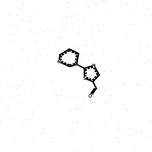 O=Cc1cnc(-c2cccnc2)s1